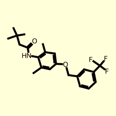 Cc1cc(OCc2cccc(C(F)(F)F)c2)cc(C)c1NC(=O)CC(C)(C)C